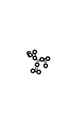 c1ccc(-n2c3ccccc3c3ccc(N(c4ccc(-n5c6ccccc6c6ccccc65)cc4)c4ccc5c(c4)-c4ccccc4C54C5CC6CC(C5)CC4C6)cc32)cc1